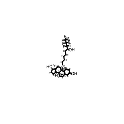 C=C[C@@]12CCc3cc(O)ccc3[C@H]1[C@@H](CCCCCCC(O)C(F)(F)C(F)(F)C(F)(F)F)C[C@@]1(C)[C@H]2CC[C@@H]1O